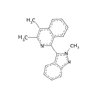 Cc1nc(-c2c3ccccc3nn2C)c2ccccc2c1C